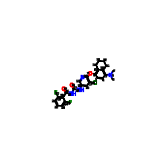 CN(C)c1ccc(Oc2ncc(NC(=O)NC(=O)c3c(F)cccc3F)cc2Cl)c2c1CCCC2